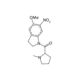 COc1cc2c(cc1[N+](=O)[O-])N(C(=O)C1CCCN1C)CC2